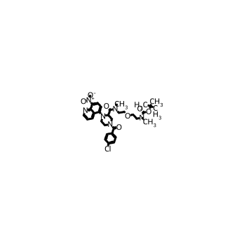 CN(CCOCCN(C)C(=O)C1CN(C(=O)c2ccc(Cl)cc2)CCN1c1ccc([N+](=O)[O-])c2ncccc12)C(=O)OC(C)(C)C